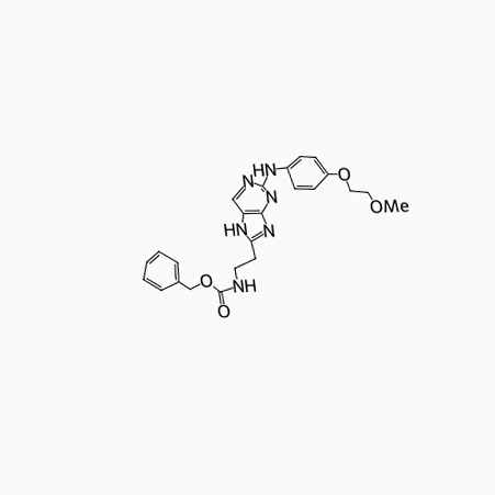 COCCOc1ccc(Nc2ncc3[nH]c(CCNC(=O)OCc4ccccc4)nc3n2)cc1